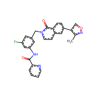 Cc1nocc1-c1ccc2c(=O)n(Cc3cc(F)cc(NC(=O)c4ccccn4)c3)ccc2c1